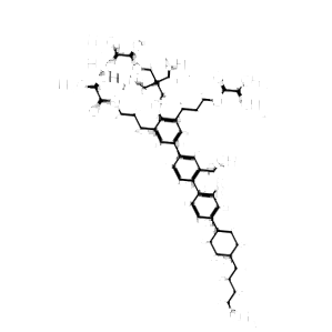 C=C(C)C(=O)OCCCc1cc(-c2ccc(-c3ccc(C4CCC(CCCCC)CC4)cc3F)c(CC)c2)cc(CCCOC(=O)C(=C)C)c1OCC(CN)(CN)COC(=O)C(=C)C